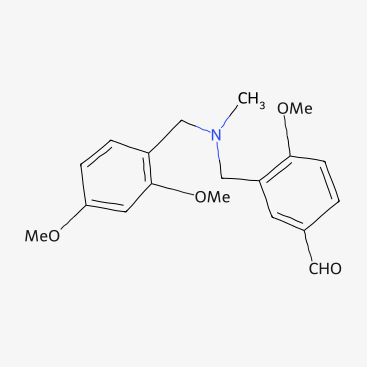 COc1ccc(CN(C)Cc2cc(C=O)ccc2OC)c(OC)c1